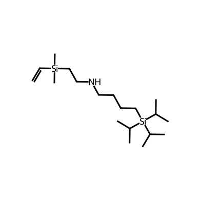 C=C[Si](C)(C)CCNCCCC[Si](C(C)C)(C(C)C)C(C)C